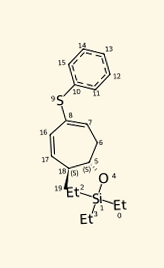 CC[Si](CC)(CC)O[C@H]1CC=C(Sc2ccccc2)C=C[C@@H]1C